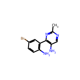 Cc1ncc(N)c(-c2cc(Br)ccc2N)n1